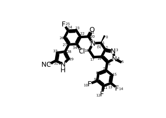 C[C@H]1c2nn(C)c(-c3cc(F)c(F)c(F)c3)c2CCN1C(=O)c1cc(F)cc(-c2c[nH]c(C#N)c2)c1Cl